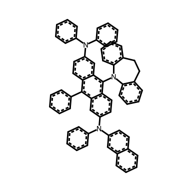 c1ccc(-c2c3cc(N(c4ccccc4)c4ccc5ccccc5c4)ccc3c(N3c4ccccc4CCc4ccccc43)c3cc(N(c4ccccc4)c4ccccc4)ccc23)cc1